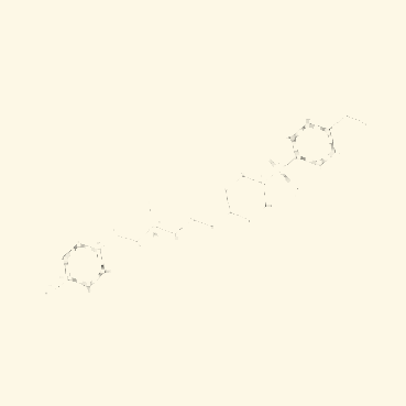 CCc1ccc(S(=O)(=O)N2CCC(CNC[C@@H](O)COc3ccc(O)cc3)CC2)cc1